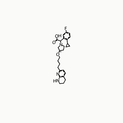 O=C(O)C(c1cc(F)ccc1C1CC1)N1CC[C@@H](OCCCCc2ccc3c(n2)NCCC3)C1